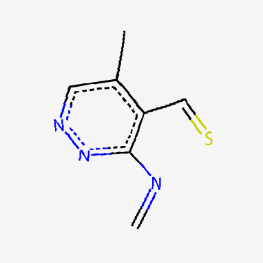 C=Nc1nncc(C)c1C=S